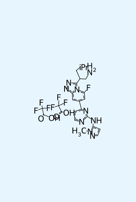 CC(C)CC(CN)c1nnc2cc(-c3ccnc(Nc4ccnn4C)n3)cc(F)n12.O=C(O)C(F)(F)F.O=C(O)C(F)(F)F